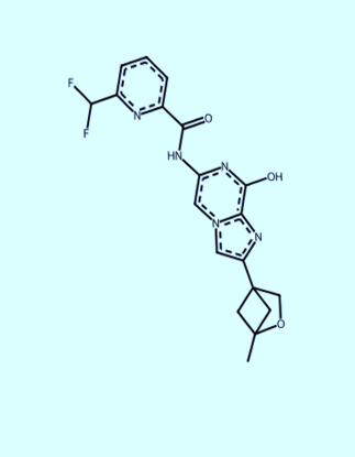 CC12CC(c3cn4cc(NC(=O)c5cccc(C(F)F)n5)nc(O)c4n3)(CO1)C2